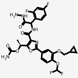 C[C@H](OC(N)=O)c1oc(-c2ccc(OC(F)F)c(OCC3CC3)c2)nc1C(=O)NC(C(=O)NN)c1ccc(F)cc1F